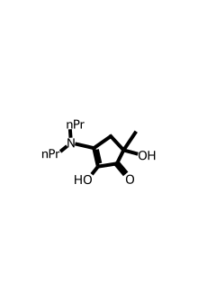 CCCN(CCC)C1=C(O)C(=O)C(C)(O)C1